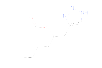 CCCCC(Cc1c[nH]nn1)OC=O